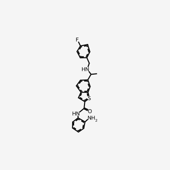 CC(NCc1ccc(F)cc1)c1ccc2cc(C(=O)Nc3ccccc3N)sc2c1